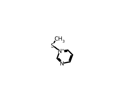 CS[n+]1cccnc1